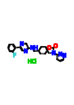 Cl.O=C1OC2(CCC(CNc3cnc(-c4ccccc4F)cn3)CC2)CN1c1cccnn1